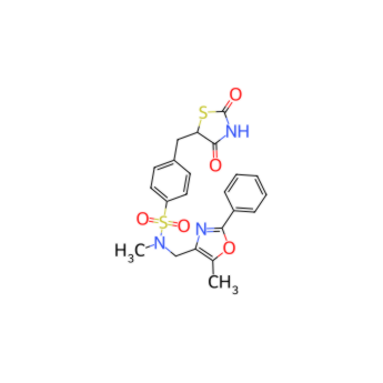 Cc1oc(-c2ccccc2)nc1CN(C)S(=O)(=O)c1ccc(CC2SC(=O)NC2=O)cc1